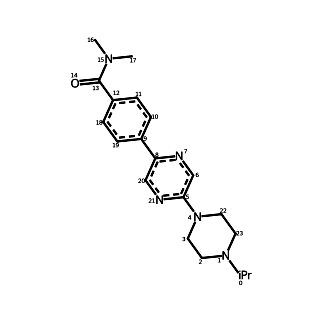 CC(C)N1CCN(c2cnc(-c3ccc(C(=O)N(C)C)cc3)cn2)CC1